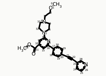 COCCN1CCN(c2cc(C(=O)OC)cc(-c3ccc(C#Cc4cccnc4)cc3)n2)CC1